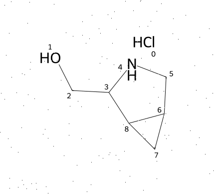 Cl.OCC1NCC2CC21